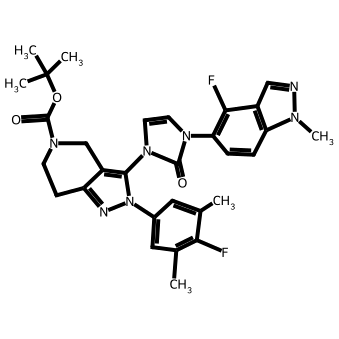 Cc1cc(-n2nc3c(c2-n2ccn(-c4ccc5c(cnn5C)c4F)c2=O)CN(C(=O)OC(C)(C)C)CC3)cc(C)c1F